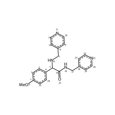 COc1ccc(C(NCc2ccncc2)C(=O)NCc2ccncc2)cc1